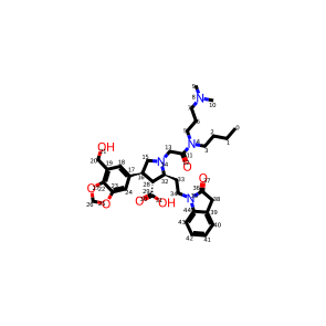 CCCCN(CCCN(C)C)C(=O)CN1C[C@H](c2cc(CO)c3c(c2)OCO3)[C@@H](C(=O)O)[C@@H]1CCN1C(=O)Cc2ccccc21